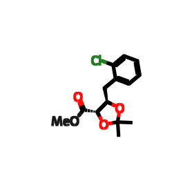 COC(=O)[C@H]1OC(C)(C)O[C@@H]1Cc1ccccc1Cl